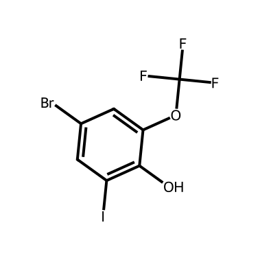 Oc1c(I)cc(Br)cc1OC(F)(F)F